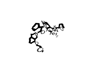 COCCOc1cccc2c1CN(C(=O)C(c1ccccc1)n1ncc3c1nc(N)n1nc(-c4ccco4)nc31)CC2